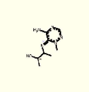 CC(/N=c1/c(N)ncnn1C)[C@@H](C)O